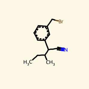 CCC(C)C(C#N)c1cccc(CBr)c1